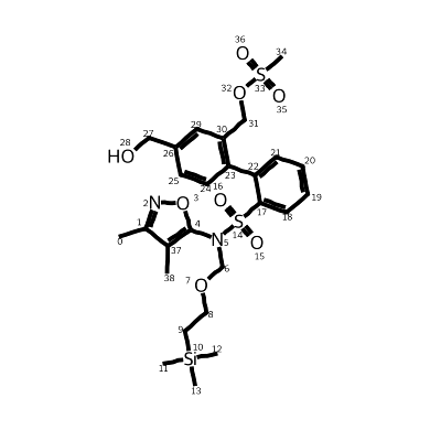 Cc1noc(N(COCC[Si](C)(C)C)S(=O)(=O)c2ccccc2-c2ccc(CO)cc2COS(C)(=O)=O)c1C